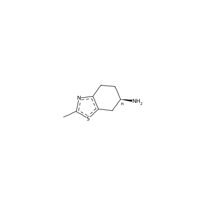 Cc1nc2c(s1)C[C@H](N)CC2